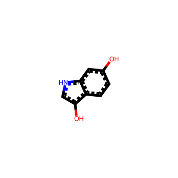 Oc1ccc2c(O)c[nH]c2c1